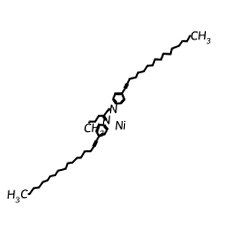 CCCCCCCCCCCCCCCCC#Cc1ccc(N=CC(CCCC)=Nc2ccc(C#CCCCCCCCCCCCCCCCC)cc2)cc1.[Ni]